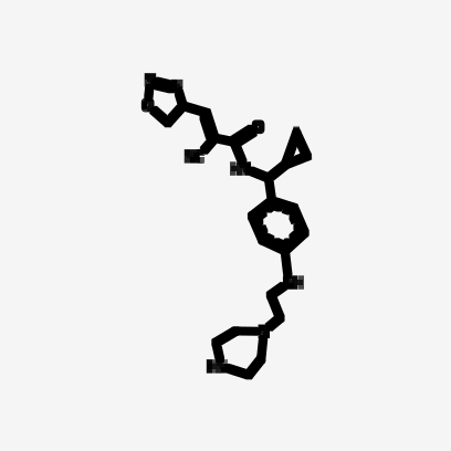 N#C/C(=C\C1CON=N1)C(=O)NC(c1ccc(NCCN2CCNCC2)cc1)C1CC1